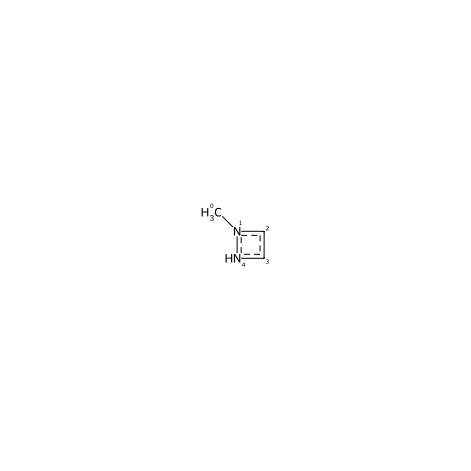 Cn1cc[nH]1